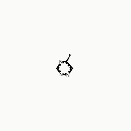 Fc1[c]nncn1